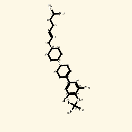 Fc1cc(C2=CCC([C@H]3CC[C@H](C/C=C/CCC(F)F)CC3)CC2)cc(F)c1OC(F)(F)F